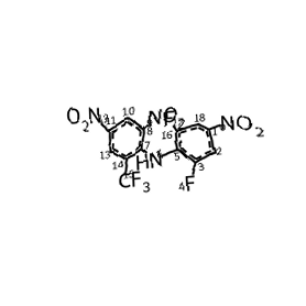 O=[N+]([O-])c1cc(F)c(Nc2c([N+](=O)[O-])cc([N+](=O)[O-])cc2C(F)(F)F)c(F)c1